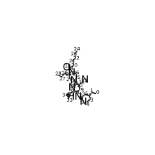 C=Cc1ccnc(Nc2cc(C#N)c(N3CCN(C(=O)CCCCC)[C@H](CCC)C3)nc2C2CC2)c1